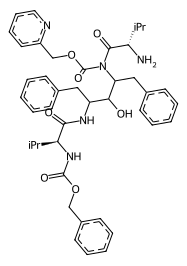 CC(C)[C@H](N)C(=O)N(C(=O)OCc1ccccn1)C(Cc1ccccc1)C(O)C(Cc1ccccc1)NC(=O)[C@@H](NC(=O)OCc1ccccc1)C(C)C